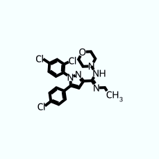 CC/N=C(\NN1CCOCC1)c1cc(-c2ccc(Cl)cc2)n(-c2ccc(Cl)cc2Cl)n1